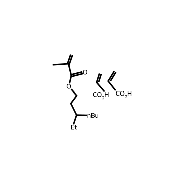 C=C(C)C(=O)OCCC(CC)CCCC.C=CC(=O)O.C=CC(=O)O